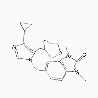 Cn1c(=O)n(C)c2cc(Cn3cnc(C4CC4)c3C3CCOC3)ccc21